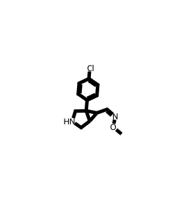 CO/N=C\C1C2CNCC12c1ccc(Cl)cc1